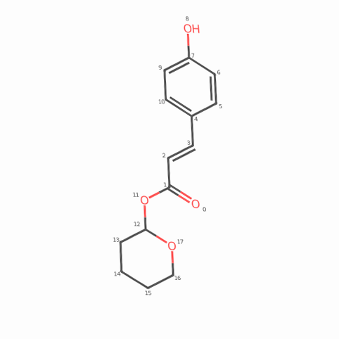 O=C(/C=C/c1ccc(O)cc1)OC1CCCCO1